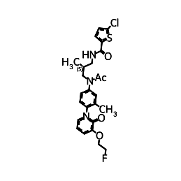 CC(=O)N(C[C@@H](C)CNC(=O)c1ccc(Cl)s1)c1ccc(-n2cccc(OCCF)c2=O)c(C)c1